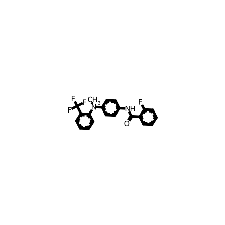 CN(c1ccc(NC(=O)c2ccccc2F)cc1)c1ccccc1C(F)(F)F